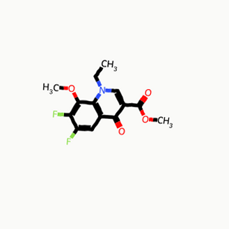 CCn1cc(C(=O)OC)c(=O)c2cc(F)c(F)c(OC)c21